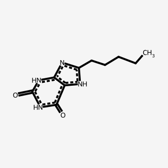 CCCCCc1nc2[nH]c(=O)[nH]c(=O)c2[nH]1